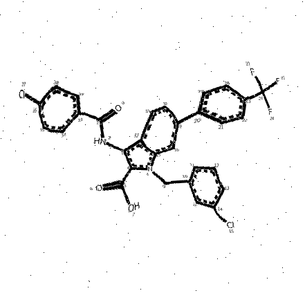 O=C(Nc1c(C(=O)O)n(Cc2cccc(Cl)c2)c2cc(-c3ccc(C(F)(F)F)cc3)ccc12)c1ccc(Cl)cc1